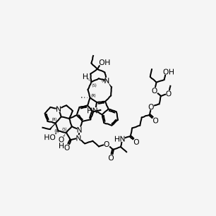 CCC(CO)OC(COC(=O)CCCC(=O)NC(C)C(=O)OCCCN1C(=O)[C@]2(O)C3N1c1cc(C)c([C@@]4(C)C[C@@H]5C[N@](CCc6c4[nH]c4ccccc64)CC(O)(CC)C5)cc1C31CCN3CC=C[C@](CC)(C31)[C@H]2O)OC